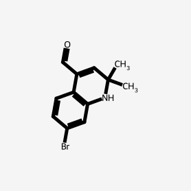 CC1(C)C=C(C=O)c2ccc(Br)cc2N1